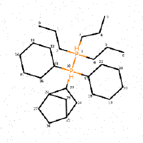 CCC[PH](CCC)(CCC)[PH](C1CCCCC1)(C1CCCCC1)C1CC2CCC1C2